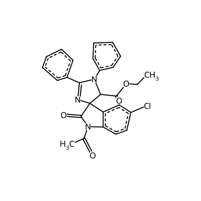 CCOC(=O)C1N(c2ccccc2)C(c2ccccc2)=NC12C(=O)N(C(C)=O)c1ccc(Cl)cc12